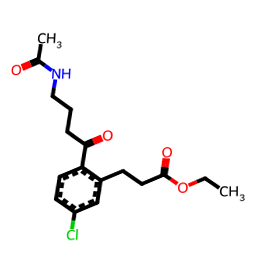 CCOC(=O)CCc1cc(Cl)ccc1C(=O)CCCNC(C)=O